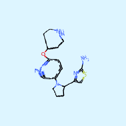 Nc1nc(C2CCCN2c2ccc(OC3CCNCC3)nc2)cs1